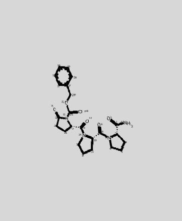 NC(=O)[C@@H]1CCCN1C(=O)[C@@H]1CCCN1C(=O)[C@@H]1CCC(=O)N1C(=O)OCc1ccccc1